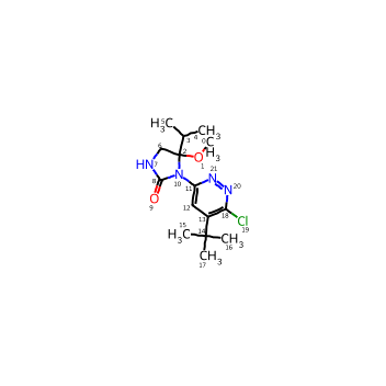 COC1(C(C)C)CNC(=O)N1c1cc(C(C)(C)C)c(Cl)nn1